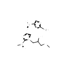 COCC(O)Cn1ccnc1[N+](=O)[O-].Nc1ncc([N+](=O)[O-])s1